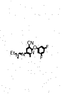 CCN(C)/C=N/c1cc(C#N)c(Oc2cc(F)cc(F)c2)nc1C